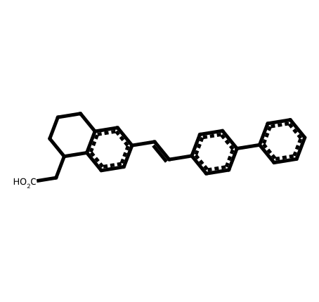 O=C(O)CC1CCCc2cc(/C=C/c3ccc(-c4ccccc4)cc3)ccc21